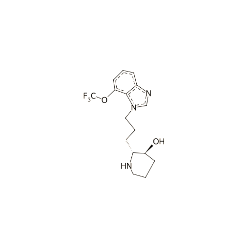 O[C@H]1CCCN[C@@H]1CCCn1cnc2cccc(OC(F)(F)F)c21